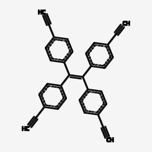 C#Cc1ccc(C(=C(c2ccc(C#C)cc2)c2ccc(C#C)cc2)c2ccc(C#C)cc2)cc1